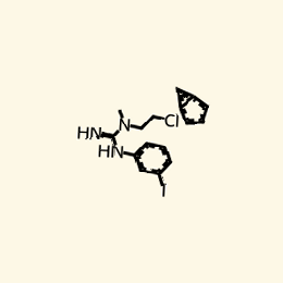 CN(CCCl)C(=N)Nc1cccc(I)c1.c1cc2cc-2c1